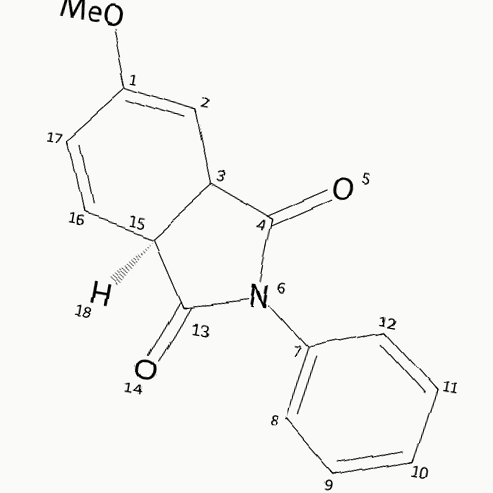 COC1=CC2C(=O)N(c3ccccc3)C(=O)[C@H]2C=C1